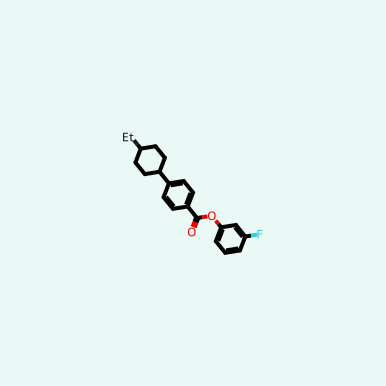 CCC1CCC(c2ccc(C(=O)Oc3cccc(F)c3)cc2)CC1